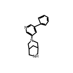 c1ccc(-c2cncc(N3CC4CNCC(C4)C3)c2)cc1